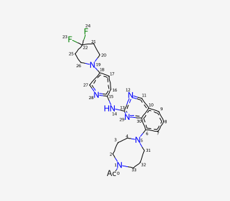 CC(=O)N1CCCN(c2cccc3cnc(Nc4ccc(N5CCC(F)(F)CC5)cn4)nc23)CCC1